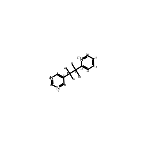 CC(C)(c1cncnc1)C(C)(C)c1ccccn1